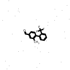 Cc1cc(C=O)ccc1-c1ccccc1C(F)(F)F